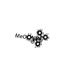 COc1ccc(NC(=O)C(OC(=O)C(c2ccccc2)c2ccccc2)c2ccccc2)cc1